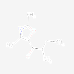 CCC(C)C(=O)c1oc(C)nc1C